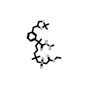 CCOC(=O)CS(=O)(=O)CC(C)(C)CCCC(C)(C(=O)NNC)c1cccc(CC2COC(C)(C)O2)c1